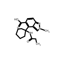 CCC(=O)NC1(c2c(C(=O)O)ccc3nn(C)cc23)CCCCC1